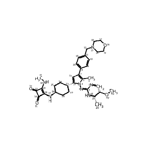 C=N/C(=N\n1c(C)c(-c2ccc(CN3CCOCC3)cc2)cc1[C@H]1CC[C@H](Nc2c(NC)c(=O)c2=O)CC1)N[C@@H](C)COC